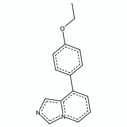 CCOc1ccc(-c2cccn3cncc23)cc1